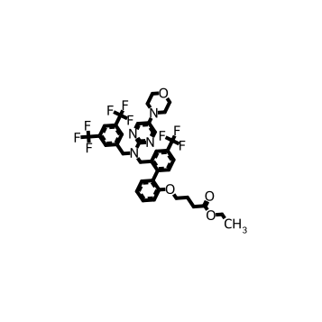 CCOC(=O)CCCOc1ccccc1-c1ccc(C(F)(F)F)cc1CN(Cc1cc(C(F)(F)F)cc(C(F)(F)F)c1)c1ncc(N2CCOCC2)cn1